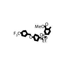 CCN(c1ccc(OCc2ccc(C(F)(F)F)cc2)cc1)S(=O)(=O)c1ccc(C)c(C(=O)OC)c1